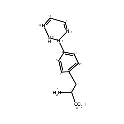 NC(Cc1ccc(N2N=CC=NN2)cc1)C(=O)O